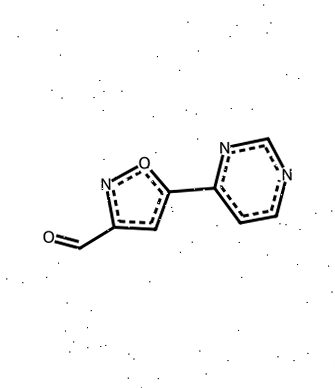 O=Cc1cc(-c2ccncn2)on1